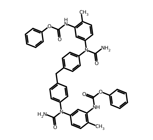 Cc1ccc(N(C(N)=O)c2ccc(Cc3ccc(N(C(N)=O)c4ccc(C)c(NC(=O)Oc5ccccc5)c4)cc3)cc2)cc1NC(=O)Oc1ccccc1